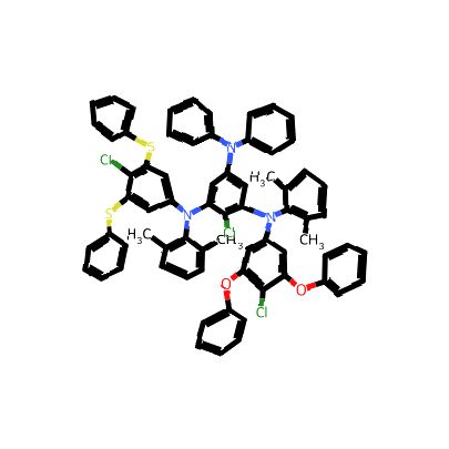 Cc1cccc(C)c1N(c1cc(Oc2ccccc2)c(Cl)c(Oc2ccccc2)c1)c1cc(N(c2ccccc2)c2ccccc2)cc(N(c2cc(Sc3ccccc3)c(Cl)c(Sc3ccccc3)c2)c2c(C)cccc2C)c1Cl